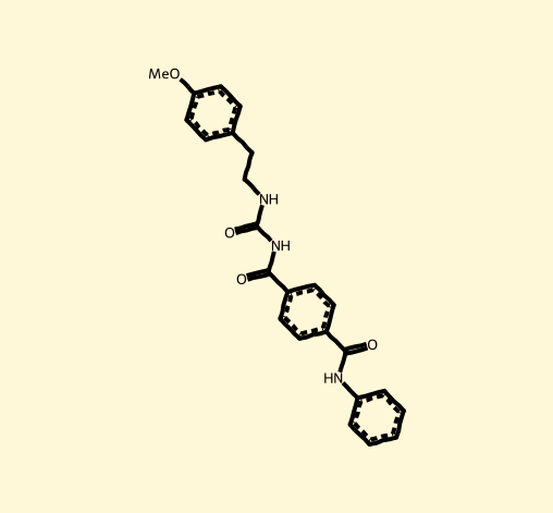 COc1ccc(CCNC(=O)NC(=O)c2ccc(C(=O)Nc3ccccc3)cc2)cc1